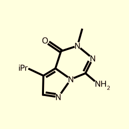 CC(C)c1cnn2c(N)nn(C)c(=O)c12